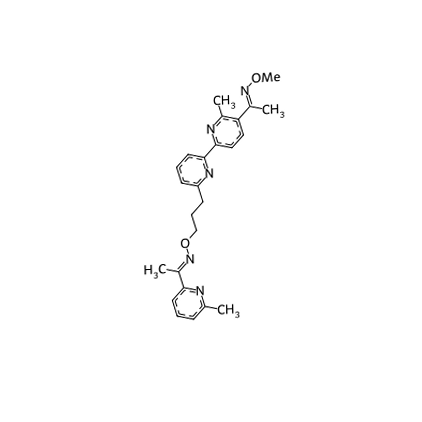 CON=C(C)c1ccc(-c2cccc(CCCO/N=C(\C)c3cccc(C)n3)n2)nc1C